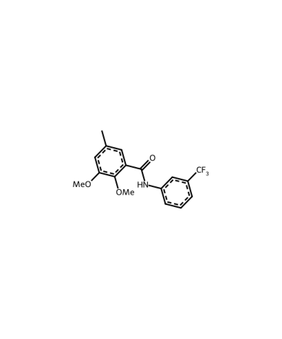 COc1cc(C)cc(C(=O)Nc2cccc(C(F)(F)F)c2)c1OC